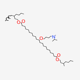 C=C=C=CC(CCCC)CCOC(=O)CCCCCCCCCC(CCCCCCCCCC(=O)OCCC(C)CCCC)OCCCCN(C)C(C)C